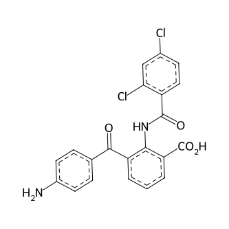 Nc1ccc(C(=O)c2cccc(C(=O)O)c2NC(=O)c2ccc(Cl)cc2Cl)cc1